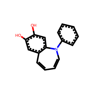 Oc1cc2c(cc1O)N(c1ccccc1)C=CC=C2